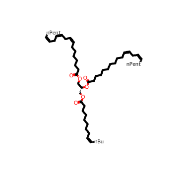 CCCC/C=C\CCCCCCCC(=O)OC[C@H](COC(=O)CCCCCC/C=C\C/C=C\C/C=C\CCCCC)OC(=O)CCCCCCCCC/C=C\C/C=C\CCCCC